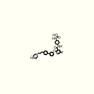 C[C@@H]1CN(CCCc2ccc(-c3cccc(Oc4ncc(F)cc4C(=O)N[C@H]4CC[C@H](NC(=O)O)CC4)c3)cc2)C[C@H](C)N1